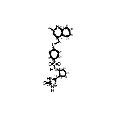 Cc1cc(COc2ccc(S(=O)(=O)NC3CCCC3c3n[nH]c(=S)[nH]3)cc2)c2ccccc2n1